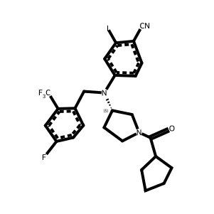 N#Cc1ccc(N(Cc2ccc(F)cc2C(F)(F)F)[C@H]2CCN(C(=O)C3CCCC3)C2)cc1I